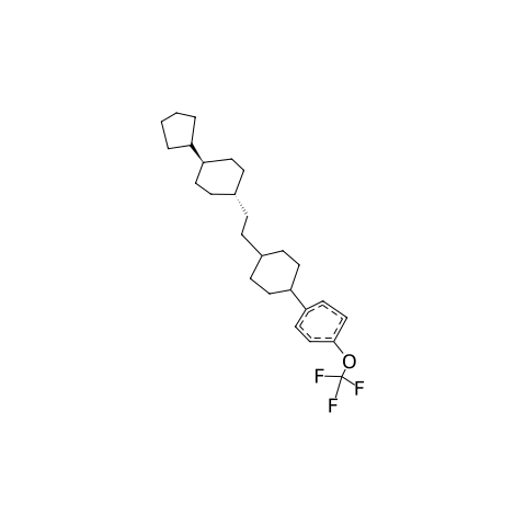 FC(F)(F)Oc1ccc(C2CCC(CC[C@H]3CC[C@H](C4CCCC4)CC3)CC2)cc1